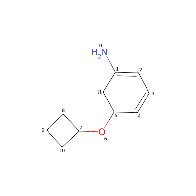 NC1=CC=CC(OC2CCC2)C1